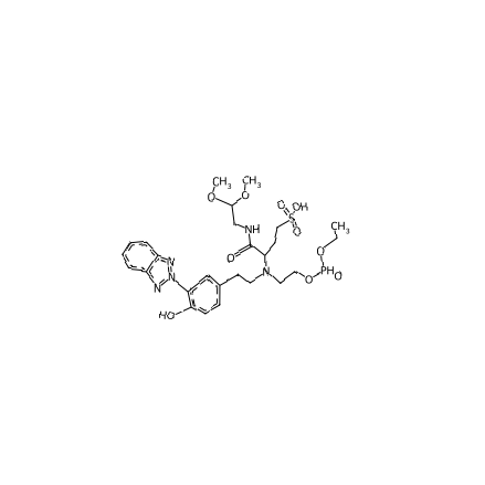 CCO[PH](=O)OCCN(CCc1ccc(O)c(-n2nc3ccccc3n2)c1)C(CCS(=O)(=O)O)C(=O)NCC(OC)OC